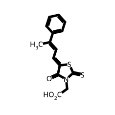 CC(=CC=C1SC(=S)N(CC(=O)O)C1=O)c1ccccc1